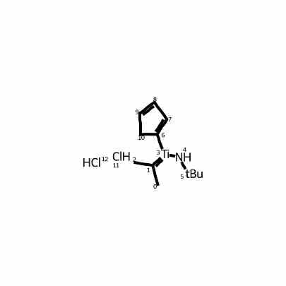 C[C](C)=[Ti]([NH]C(C)(C)C)[C]1=CC=CC1.Cl.Cl